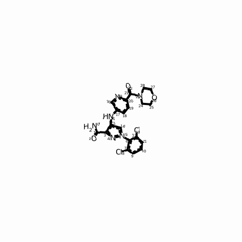 NC(=O)c1nn(-c2c(Cl)cccc2Cl)cc1Nc1ccc(C(=O)N2CCOCC2)nc1